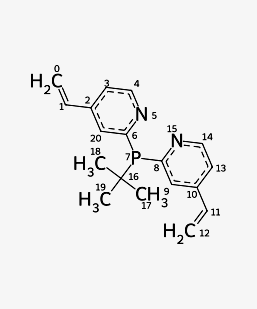 C=Cc1ccnc(P(c2cc(C=C)ccn2)C(C)(C)C)c1